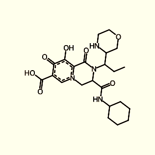 CCC(C1COCCN1)N1C(=O)c2c(O)c(=O)c(C(=O)O)cn2CC1C(=O)NC1CCCCC1